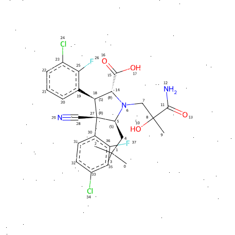 CC(C)(C)C[C@@H]1N(CC(C)(O)C(N)=O)[C@@H](C(=O)O)[C@H](c2cccc(Cl)c2F)[C@@]1(C#N)c1ccc(Cl)cc1F